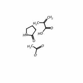 C=C(C)C(=O)O.CC([O])=O.O=C1CCCN1